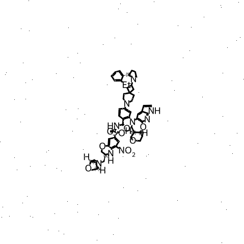 CCc1ccccc1[C@@H]1CCCN1C1CC2(CCN(c3ccc(C(=O)NS(=O)(=O)c4cc5c(c([N+](=O)[O-])c4)N[C@@H](CN4C[C@H]6C[C@@H]4CO6)CO5)c(N4C[C@@H]5COCC[C@@H]5Oc5nc6[nH]ccc6cc54)c3)CC2)C1